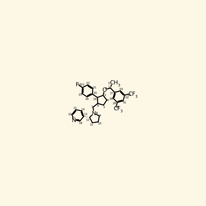 C[C@H](OC1CCC(CN2CCC[C@@H]2c2cccnc2)C1c1ccc(F)cc1)c1cc(C(F)(F)F)cc(C(F)(F)F)c1